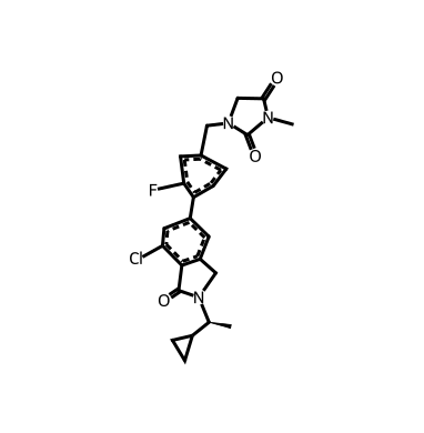 C[C@@H](C1CC1)N1Cc2cc(-c3ccc(CN4CC(=O)N(C)C4=O)cc3F)cc(Cl)c2C1=O